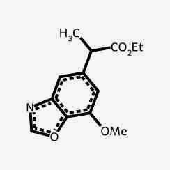 CCOC(=O)C(C)c1cc(OC)c2ocnc2c1